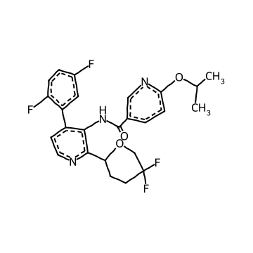 CC(C)Oc1ccc(C(=O)Nc2c(-c3cc(F)ccc3F)ccnc2C2CCC(F)(F)CO2)cn1